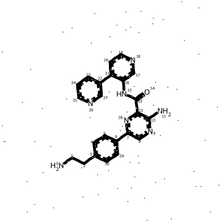 NCCc1ccc(-c2cnc(N)c(C(=O)Nc3cnccc3-c3cccnc3)n2)cc1